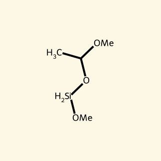 CO[SiH2]OC(C)OC